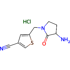 Cl.N#Cc1csc(CN2CCC(N)C2=O)c1